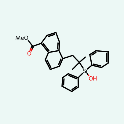 COC(=O)c1cccc2c(CC(C)(C)[Si](O)(c3ccccc3)c3ccccc3)cccc12